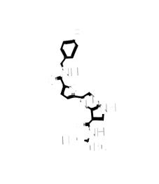 CC(NC(=O)c1c[nH]c2ncc(-c3ccc(C(=O)NCc4ccc(F)cc4)s3)nc12)C(C)(C)C